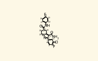 NC(=O)c1c(-c2ccc(F)c(Cl)c2)nn2c1CN(C(=O)Nc1ccc(F)cc1)CC2